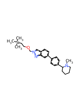 CN1CCCCC1c1[c]cc(-c2ccc3cn(COCC[Si](C)(C)C)nc3c2)cc1